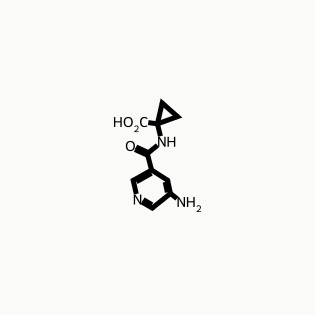 Nc1cncc(C(=O)NC2(C(=O)O)CC2)c1